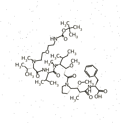 CC[C@H](C)[C@@H]([C@@H](CC(=O)N1CCC[C@H]1[C@H](OC)[C@@H](C)C(=O)N[C@@H](Cc1ccccc1)C(=O)O)OC)N(C)C(=O)[C@@H](NC(=O)[C@H](C(C)C)N(C)CCOCCNC(=O)OC(C)(C)C)C(C)C